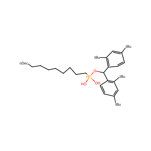 CCCCCCCCCCCCCCCCCC[PH](O)(O)OC(c1ccc(C(C)(C)C)cc1C(C)(C)C)c1ccc(C(C)(C)C)cc1C(C)(C)C